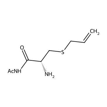 C=CCSC[C@H](N)C(=O)NC(C)=O